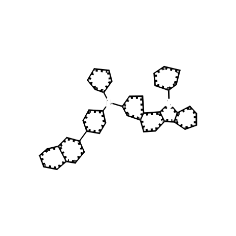 c1ccc(N(c2ccc(-c3ccc4ccccc4c3)cc2)c2ccc3c(ccc4c5ccccc5n(-c5ccccc5)c34)c2)cc1